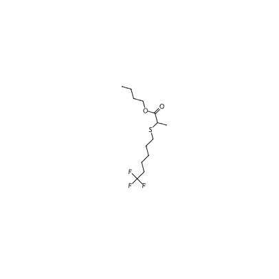 CCCCOC(=O)C(C)SCCCCCC(F)(F)F